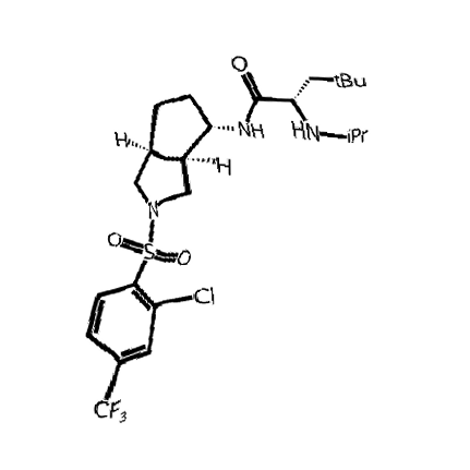 CC(C)N[C@@H](CC(C)(C)C)C(=O)N[C@H]1CC[C@@H]2CN(S(=O)(=O)c3ccc(C(F)(F)F)cc3Cl)C[C@@H]21